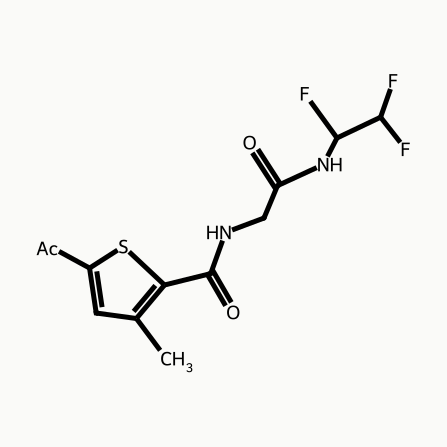 CC(=O)c1cc(C)c(C(=O)NCC(=O)NC(F)C(F)F)s1